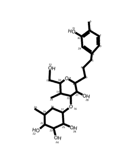 Cc1ccc(CCCC2OC(CO)C(C)C(OC3CC(C)C(O)C(O)C3O)C2O)cc1O